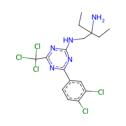 CCC(N)(CC)CNc1nc(-c2ccc(Cl)c(Cl)c2)nc(C(Cl)(Cl)Cl)n1